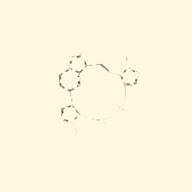 C[C@H]1CN(C)Cc2cnn(C)c2/C=C/c2n[nH]c3ccc(cc23)-c2cnn(C)c2O1